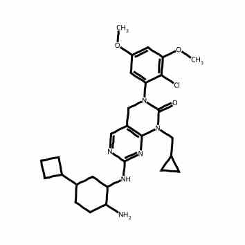 COc1cc(OC)c(Cl)c(N2Cc3cnc(NC4CC(C5CCC5)CCC4N)nc3N(CC3CC3)C2=O)c1